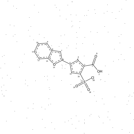 O=C(O)c1sc(-c2cc3ccccc3o2)cc1S(=O)(=O)Cl